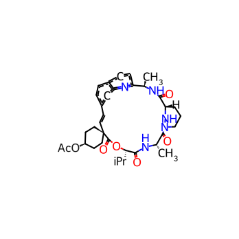 CC(=O)O[C@H]1CC[C@]2(/C=C/c3ccc4ccc(nc4c3)[C@@H](C)NC(=O)[C@@H]3CCCN(N3)C(=O)[C@H](C)NC(=O)[C@H](C(C)C)OC2=O)CC1